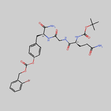 CC(C)(C)OC(=O)N[C@@H](CCC(N)=O)C(=O)NCC(=O)N[C@@H](Cc1ccc(OC(=O)OCc2ccccc2Br)cc1)C(N)=O